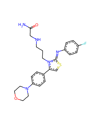 NC(=O)CNCCCn1c(-c2ccc(N3CCOCC3)cc2)cs/c1=N\c1ccc(F)cc1